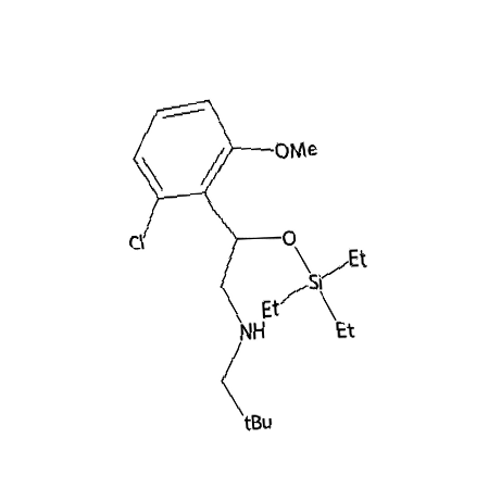 CC[Si](CC)(CC)OC(CNCC(C)(C)C)c1c(Cl)cccc1OC